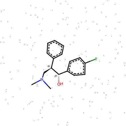 CN(C)C[C@@H](c1ccccc1)[C@@H](O)c1ccc(F)cc1